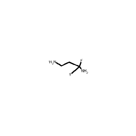 NCCC(N)(F)F